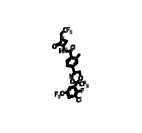 Cc1cc(C2=NO[C@](c3cc(C(F)(F)F)cc(Cl)c3F)(C(F)(F)F)OC2)ccc1C(=O)N[C@@H]1CN(CC(F)(F)F)C1=O